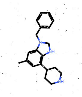 Cc1cc(C2CCNCC2)c2c(c1)N(Cc1ccccc1)[CH]N2